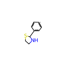 [c]1ccc(C2NCCS2)cc1